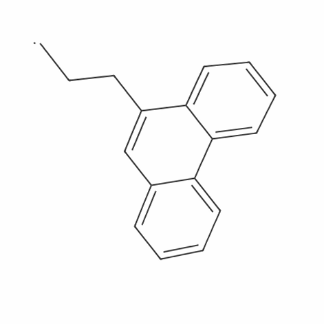 [CH2]CCc1cc2ccccc2c2ccccc12